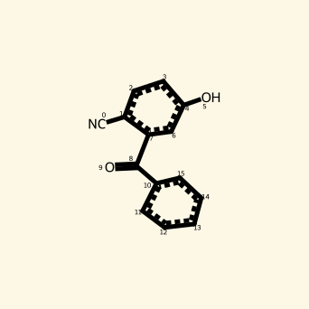 N#Cc1ccc(O)cc1C(=O)c1ccccc1